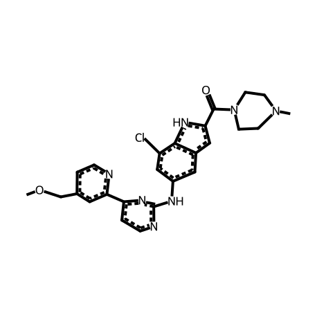 COCc1ccnc(-c2ccnc(Nc3cc(Cl)c4[nH]c(C(=O)N5CCN(C)CC5)cc4c3)n2)c1